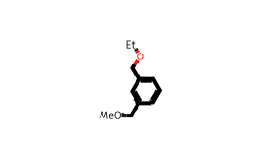 CCOCc1cccc(COC)c1